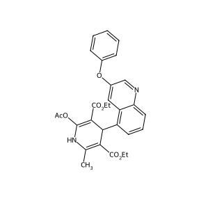 CCOC(=O)C1=C(C)NC(OC(C)=O)=C(C(=O)OCC)C1c1cccc2ncc(Oc3ccccc3)cc12